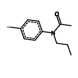 [CH2]c1ccc(N(CCC)C(C)=O)cc1